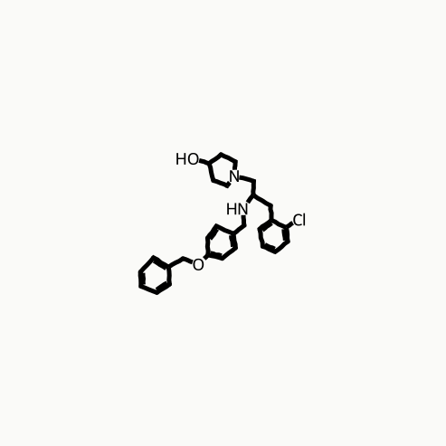 OC1CCN(CC(Cc2ccccc2Cl)NCc2ccc(OCc3ccccc3)cc2)CC1